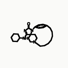 O=C1N=C(NC2CCCCC2)C23CCN(CCCCCCCc4ccc(cc4)N12)CC3